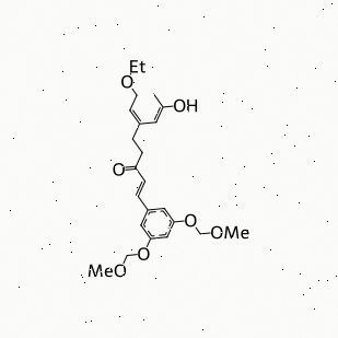 CCOC/C=C(\C=C(/C)O)CCC(=O)/C=C/c1cc(OCOC)cc(OCOC)c1